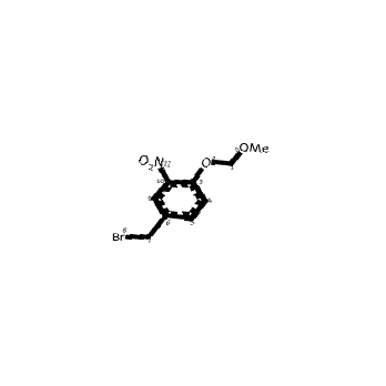 COCOc1ccc(CBr)cc1[N+](=O)[O-]